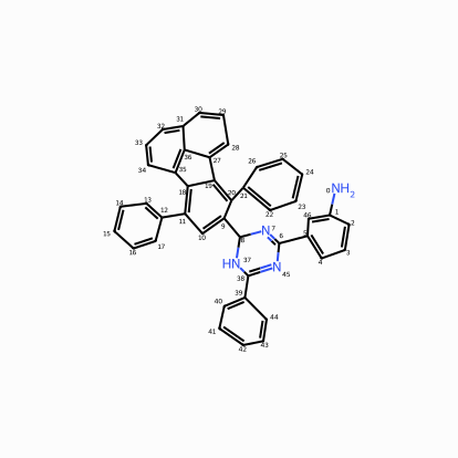 Nc1cccc(C2=NC(c3cc(-c4ccccc4)c4c(c3-c3ccccc3)-c3cccc5cccc-4c35)NC(c3ccccc3)=N2)c1